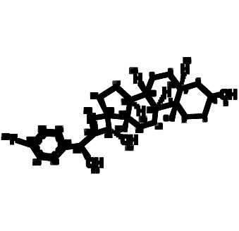 C[C@]12CC[C@H](O)C[C@@H]1CC[C@@H]1[C@@H]2CC[C@@]2(C)[C@H]1CC[C@@]21N=C([C@@H](O)c2ccc(F)cc2)[C@H]1O